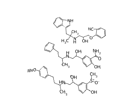 CC(C)(Cc1c[nH]c2ccccc12)NCC(O)COc1ccccc1C#N.CC(CCc1ccccc1)NCC(O)c1ccc(O)c(C(N)=O)c1.COc1ccc(CCC(C)NCC(O)c2ccc(O)c([S+](C)[O-])c2)cc1